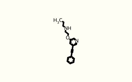 CCCNCCOc1cncc(C#Cc2ccccc2)c1